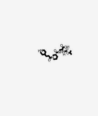 CC(C)OC(=O)NC(CNC(=O)[C@@H]1CCCN(C(=O)CCC2CCNCC2)C1)C(=O)O